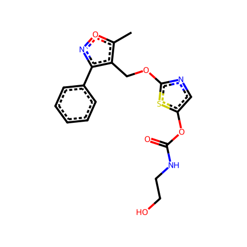 Cc1onc(-c2ccccc2)c1COc1ncc(OC(=O)NCCO)s1